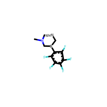 CNCB(CN(C)C)c1c(F)c(F)c(F)c(F)c1F